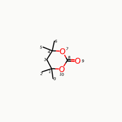 CC1(C)CC(C)(C)OC(=O)O1